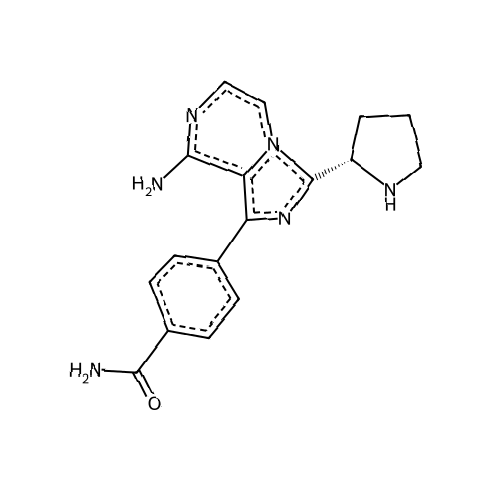 NC(=O)c1ccc(-c2nc([C@@H]3CCCN3)n3ccnc(N)c23)cc1